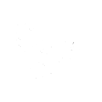 CSCC[C@@]1(C)Cc2cc(NC(=O)c3cnn4cccnc34)c(N3CCCCC3)cc2O1